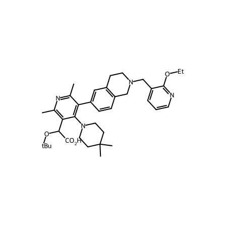 CCOc1ncccc1CN1CCc2cc(-c3c(C)nc(C)c(C(OC(C)(C)C)C(=O)O)c3N3CCC(C)(C)CC3)ccc2C1